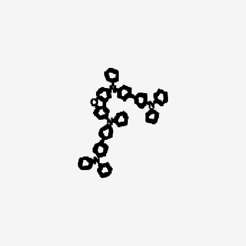 c1ccc(N(c2ccccc2)c2ccc(-c3ccc(N(c4ccccc4)c4ccc5oc6ccc(N(c7ccccc7)c7ccc(-c8ccc(N(c9ccccc9)c9ccccc9)cc8)cc7)cc6c5c4)cc3)cc2)cc1